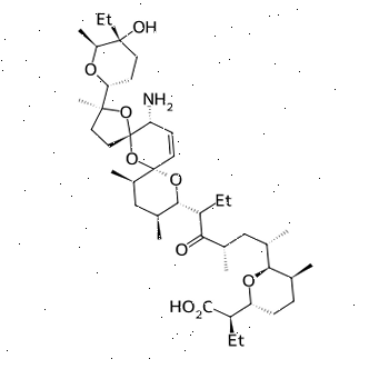 CCC(C(=O)[C@@H](C)C[C@H](C)[C@@H]1O[C@@H]([C@@H](CC)C(=O)O)CC[C@@H]1C)[C@H]1O[C@]2(C=C[C@@H](N)[C@]3(CC[C@@](C)([C@H]4CC[C@](O)(CC)[C@H](C)O4)O3)O2)[C@H](C)C[C@@H]1C